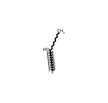 CCCCCCCCCCC(O)C(F)(F)C(F)(F)C(F)(F)C(F)(F)C(F)(F)C(F)(F)C(F)(F)C(F)(F)F